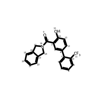 O=C(c1cc(-c2ccccc2C(F)(F)F)ccc1O)N1Cc2ccccc2C1